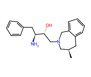 C[C@@H]1Cc2ccccc2CN(C[C@@H](O)[C@@H](N)Cc2ccccc2)C1